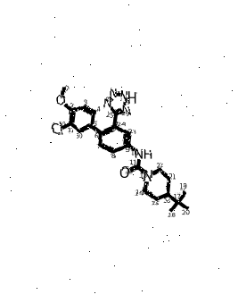 COc1ccc(-c2ccc(NC(=O)N3CCC(C(C)(C)C)CC3)cc2-c2nn[nH]n2)cc1Cl